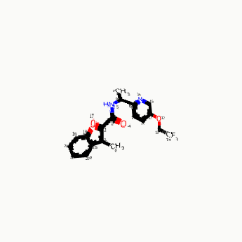 Cc1c(C(=O)NC(C)c2ccc(OCC(F)(F)F)cn2)oc2ccccc12